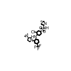 CN(C)C1CCN(c2cc(C(F)(F)F)ccc2Nc2ccc(S(=O)(=O)Nc3cscn3)cc2Cl)C1